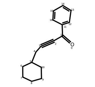 O=C(C#CCC1CCCCC1)c1ccccc1